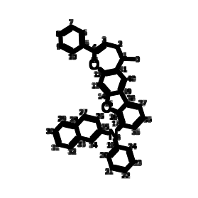 CC1CC=C(c2ccccc2)Oc2cc3oc4c(N(c5ccccc5)c5ccc6ccccc6c5)cccc4c3cc21